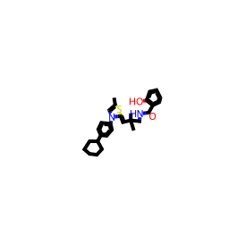 CC1=CN(c2ccc(C3CCCCC3)cc2)C(=CC(C)(C)CNC(=O)c2ccccc2O)S1